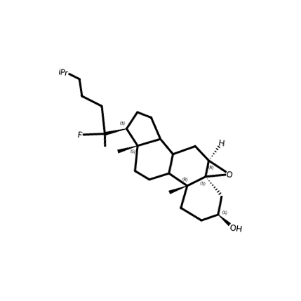 CC(C)CCCC(C)(F)[C@H]1CCC2C3C[C@H]4O[C@]45C[C@@H](O)CC[C@]5(C)C3CC[C@@]21C